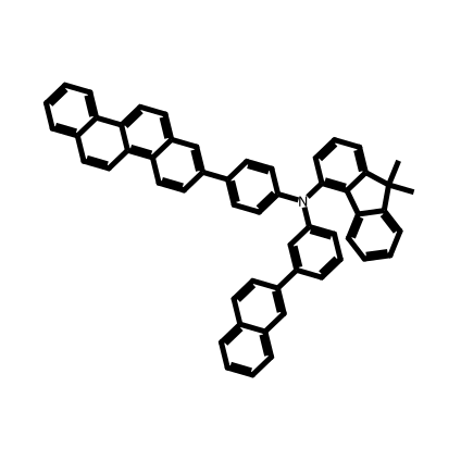 CC1(C)c2ccccc2-c2c(N(c3ccc(-c4ccc5c(ccc6c7ccccc7ccc56)c4)cc3)c3cccc(-c4ccc5ccccc5c4)c3)cccc21